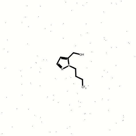 OCc1ccnn1CCCC(F)(F)F